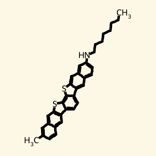 CCCCCCCCNc1ccc2cc3c(cc2c1)sc1c3ccc2c3cc4ccc(C)cc4cc3sc21